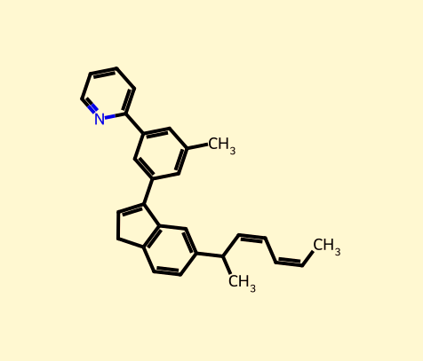 C/C=C\C=C/C(C)c1ccc2c(c1)C(c1cc(C)cc(-c3ccccn3)c1)=CC2